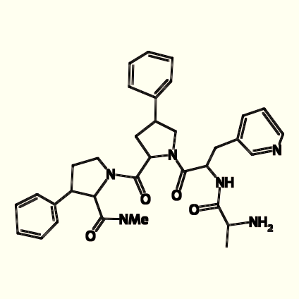 CNC(=O)C1C(c2ccccc2)CCN1C(=O)C1CC(c2ccccc2)CN1C(=O)C(Cc1cccnc1)NC(=O)C(C)N